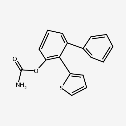 NC(=O)Oc1cccc(-c2ccccc2)c1-c1cccs1